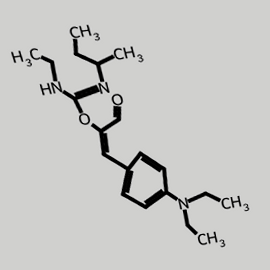 CCNC(=NC(C)CC)O/C(C=O)=C/c1ccc(N(CC)CC)cc1